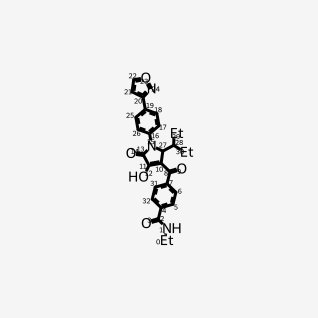 CCNC(=O)c1ccc(C(=O)C2=C(O)C(=O)N(c3ccc(-c4ccon4)cc3)C2C(CC)CC)cc1